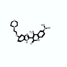 Nc1c(-c2nc3cc(OCCN4CCOCC4)ccc3[nH]2)c(=O)[nH]c2ccc(N(O)O)cc12